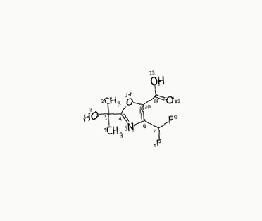 CC(C)(O)c1nc(C(F)F)c(C(=O)O)o1